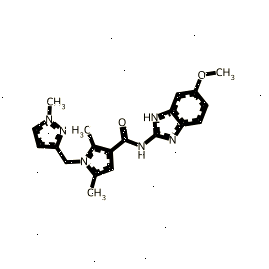 COc1ccc2nc(NC(=O)c3cc(C)n(Cc4ccn(C)n4)c3C)[nH]c2c1